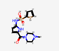 CN1CCN(C(=O)c2ccc(NS(=O)(=O)c3cccs3)[nH]2)CC1